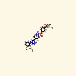 Cc1cccc(-n2cc(C3CCN(CC(=O)c4ccc(OC(F)(F)F)cc4)CC3)nn2)c1